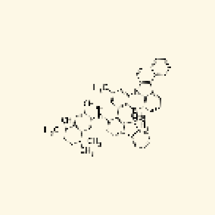 Cc1cc(-c2c(Nc3cc4c(cc3C)C(C)(C)CCC4(C)C)ccc3c2C(C)(C)c2ccccc2-3)c2c(c1)-n1c3ccc4ccccc4c3c3cccc(c31)B2